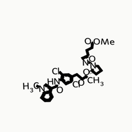 COC(=O)CCc1cnc(N2CCC[C@@H]2OC(C)C(=O)Cc2cc(Cl)c(NC(=O)c3cn(C)c4ccccc34)cc2Cl)o1